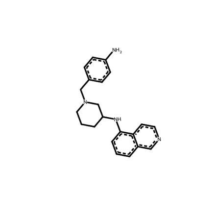 Nc1ccc(CN2CCCC(Nc3cccc4cnccc34)C2)cc1